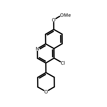 COOc1ccc2c(Cl)c(C3=CCOCC3)cnc2c1